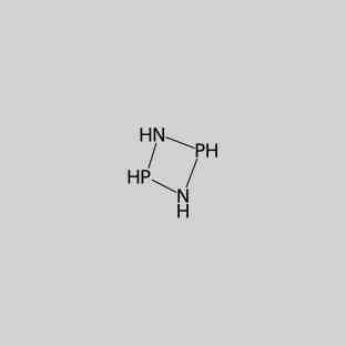 N1PNP1